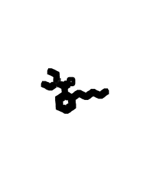 CCCCCc1ccccc1C(=O)N(CC)CC